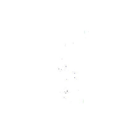 COc1cccc(OC)c1-n1c(NS(=O)(=O)CCc2ccc(F)cc2C#N)nnc1-c1cncc(Cl)c1